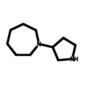 C1CCCN(C2CCNC2)CC1